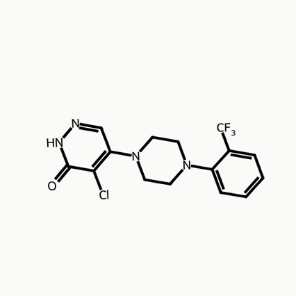 O=c1[nH]ncc(N2CCN(c3ccccc3C(F)(F)F)CC2)c1Cl